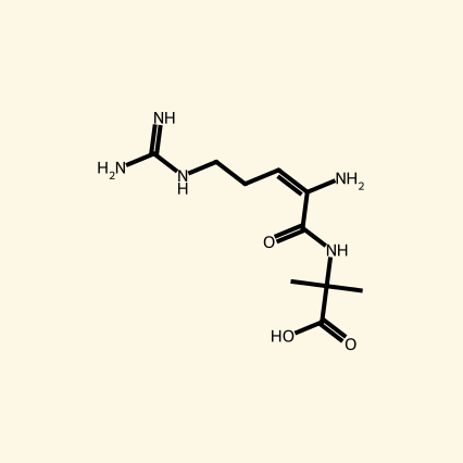 CC(C)(NC(=O)/C(N)=C\CCNC(=N)N)C(=O)O